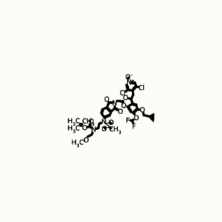 COCCN(CCN(c1ccc2c(c1)C(=O)N(CC(=O)OC(Cc1c(Cl)c[n+]([O-])cc1Cl)c1ccc(OC(F)F)c(OCC3CC3)c1)C2=O)S(C)(=O)=O)C(=O)OC(C)(C)C